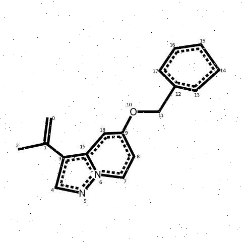 C=C(C)c1cnn2ccc(OCc3ccccc3)cc12